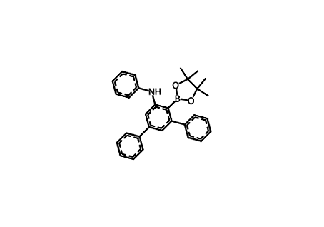 CC1(C)OB(c2c(Nc3ccccc3)cc(-c3ccccc3)cc2-c2ccccc2)OC1(C)C